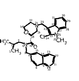 CC(C)CN(Cc1ccc2ncccc2c1)C(=O)[C@H]1CN(Cc2c(Cl)n(C)c3ccccc23)CCO1